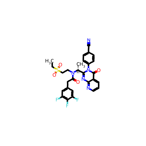 CCS(=O)(=O)CCN(C(=O)Cc1cc(F)c(F)c(F)c1)[C@H](C)c1nc2ncccc2c(=O)n1-c1ccc(C#N)cc1